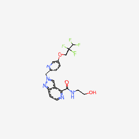 O=C(NCCO)c1nccc2nn(Cc3ccc(OCC(F)(F)C(F)F)cn3)cc12